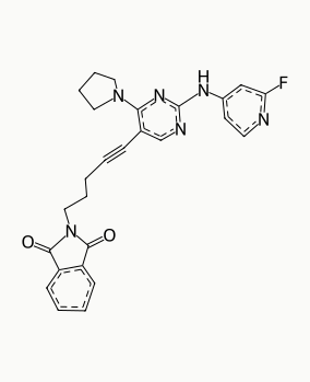 O=C1c2ccccc2C(=O)N1CCCC#Cc1cnc(Nc2ccnc(F)c2)nc1N1CCCC1